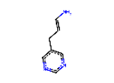 NC=CCc1cncnc1